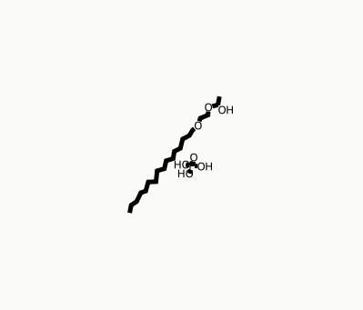 CCCCCCCCCCCCCCCCOCCOC(C)O.O=P(O)(O)O